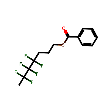 CC(F)(F)C(F)(F)C(F)(F)CCCSC(=O)c1ccccc1